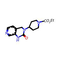 CCOC(=O)N1CCC(N2Cc3ccncc3NC2=O)CC1